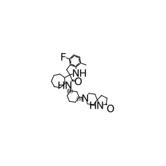 Cc1ccc(F)c2c1NC(C(=O)N[C@@H]1CCC[C@H](N3CCC4(CCC(=O)N4)CC3)C1)(C1CCCCCC1)C2